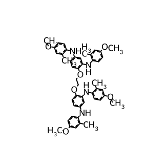 COc1ccc(Nc2ccc(OCCOc3ccc(Nc4ccc(OC)cc4C)cc3Nc3ccc(OC)cc3C)c(Nc3ccc(OC)cc3C)c2)c(C)c1